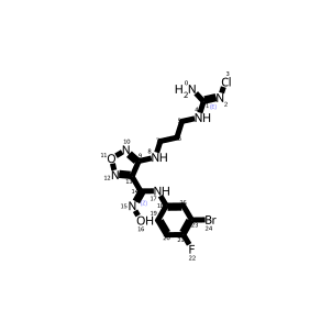 N/C(=N\Cl)NCCCNc1nonc1/C(=N/O)Nc1ccc(F)c(Br)c1